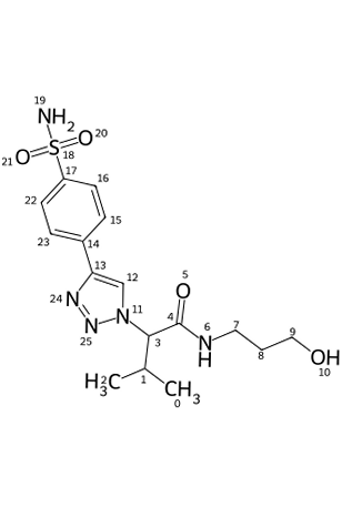 CC(C)C(C(=O)NCCCO)n1cc(-c2ccc(S(N)(=O)=O)cc2)nn1